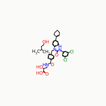 CC(C)CCO.O=C(NCC(O)C(=O)O)c1ccc(CN(C(=O)Nc2cc(Cl)cc(Cl)c2)c2ccc(C3=CCCCC3)cc2)cc1